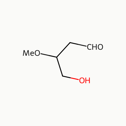 COC(CO)CC=O